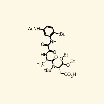 CCOC(OCC)[C@H](CC(=O)O)N(C(=O)[C@H](C)NC(=O)C(=O)Nc1cc(NC(C)=O)ccc1C(C)(C)C)C(C)(C)C